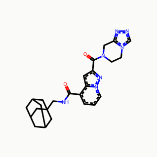 O=C(NCC12CC3CC(CC(C3)C1)C2)c1cccn2nc(C(=O)N3CCn4cnnc4C3)cc12